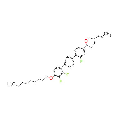 C/C=C/C1CCC(c2ccc(-c3ccc(-c4ccc(OCCCCCCCCC)c(F)c4F)cc3)c(F)c2)OC1